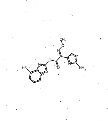 CON=C(C(=O)Oc1nc2c(S)cccc2s1)c1csc(N)n1